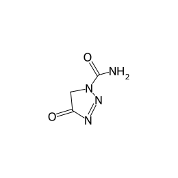 NC(=O)N1CC(=O)N=N1